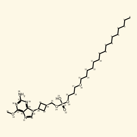 CCCCCCCCCCCCCCCCOCCCOP(=O)(O)OC[C@H]1C[C@@H](n2cnc3c(OC)nc(N)nc32)C1